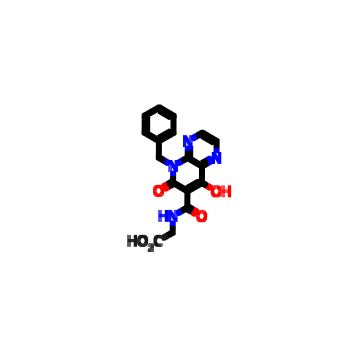 O=C(O)CNC(=O)c1c(O)c2nccnc2n(Cc2ccccc2)c1=O